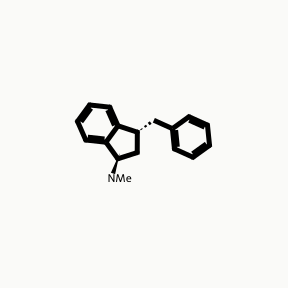 CN[C@@H]1C[C@@H](Cc2ccccc2)c2ccccc21